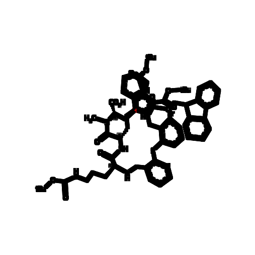 CN(C(=O)[C@H](CCCCNC(=O)OC(C)(C)C)NC(=O)[C@H](CCCNC(=O)OC(C)(C)C)NCc1cccnc1Sc1cccc(Br)c1CNC(=O)OCC1c2ccccc2-c2ccccc21)[C@@H](Cc1cn(C(=O)OC(C)(C)C)c2ccccc12)C(=O)O